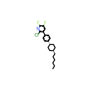 CCCCCC[C@H]1CC[C@H](c2ccc(-c3cc(F)c(F)nc3Cl)cc2)CC1